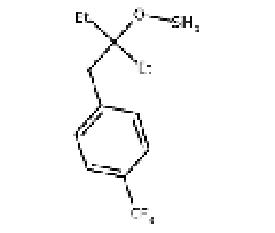 CCC(CC)(Cc1ccc(C(F)(F)F)cc1)O[SiH3]